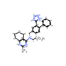 O=C(O)CN(Cc1ccc(-c2ccccc2)c(-c2nnn[nH]2)c1)c1nc(C(F)(F)F)nc2c1CCCC2